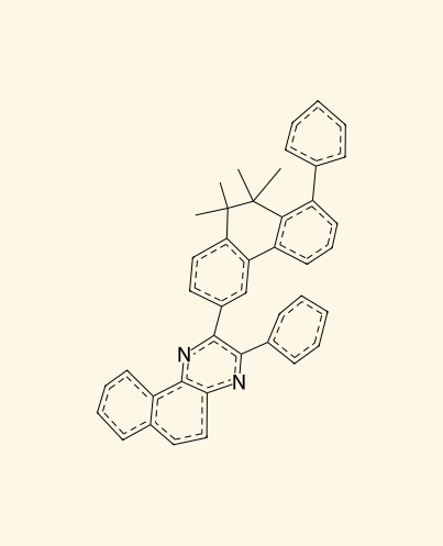 CC1(C)c2ccc(-c3nc4c(ccc5ccccc54)nc3-c3ccccc3)cc2-c2cccc(-c3ccccc3)c2C1(C)C